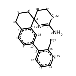 NC1=NC2(CCCc3ccc(-c4cccnc4F)cc32)CCS1